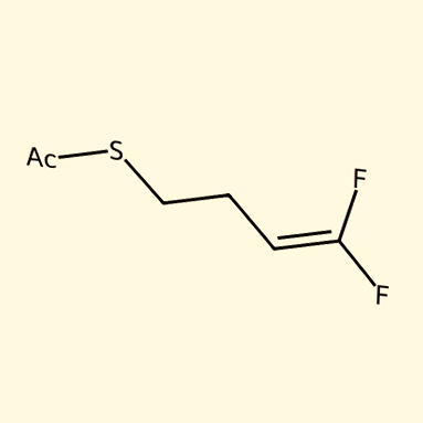 CC(=O)SCCC=C(F)F